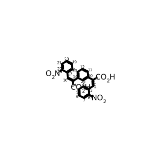 O=C(O)/C(=C/c1ccccc1[N+](=O)[O-])c1cccc(/C(=C\c2ccccc2[N+](=O)[O-])C(=O)O)c1